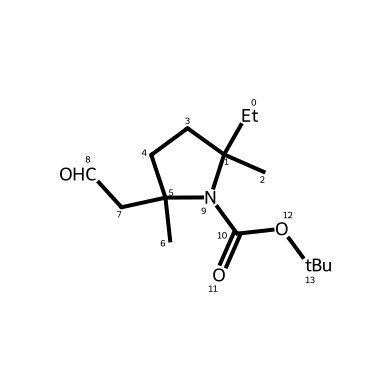 CCC1(C)CCC(C)(CC=O)N1C(=O)OC(C)(C)C